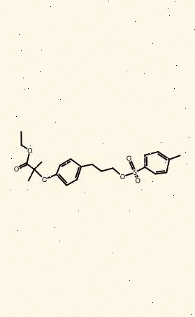 CCOC(=O)C(C)(C)Oc1ccc(CCCOS(=O)(=O)c2ccc(C)cc2)cc1